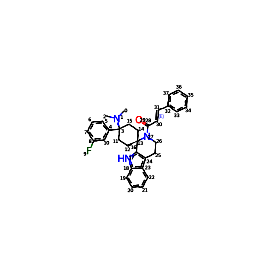 CN(C)[C@]1(c2cccc(F)c2)CC[C@]2(CC1)c1[nH]c3ccccc3c1CCN2C(=O)/C=C/c1ccccc1